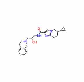 O=C(NCC(O)CN1CCc2ccccc2C1)c1cn2c(n1)CCC(C1CC1)C2